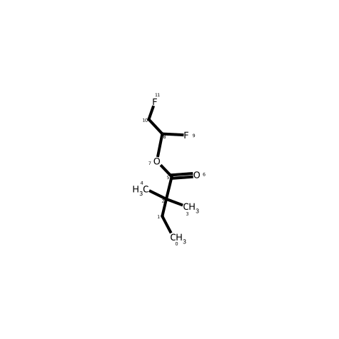 CCC(C)(C)C(=O)OC(F)CF